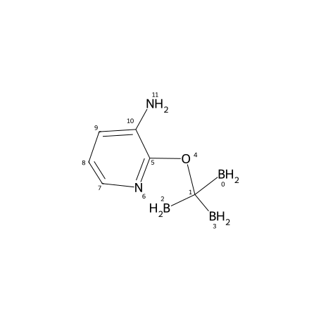 BC(B)(B)Oc1ncccc1N